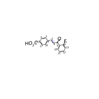 O=C(O)c1ccc(/C=C/C(=O)c2ccccc2F)cc1